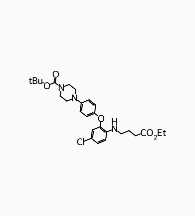 CCOC(=O)CCCNc1ccc(Cl)cc1Oc1ccc(N2CCN(C(=O)OC(C)(C)C)CC2)cc1